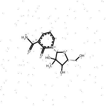 CC1(O)C(O)[C@@H](CO)O[C@H]1n1cccc(C(N)=O)c1=O